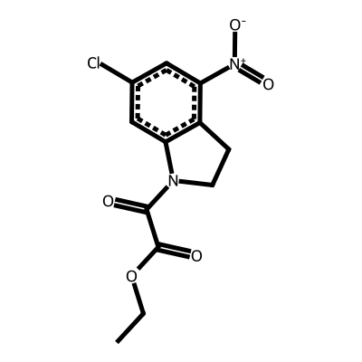 CCOC(=O)C(=O)N1CCc2c1cc(Cl)cc2[N+](=O)[O-]